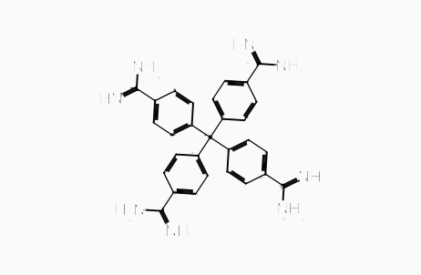 N=C(N)c1ccc(C(c2ccc(C(=N)N)cc2)(c2ccc(C(=N)N)cc2)c2ccc(C(=N)N)cc2)cc1